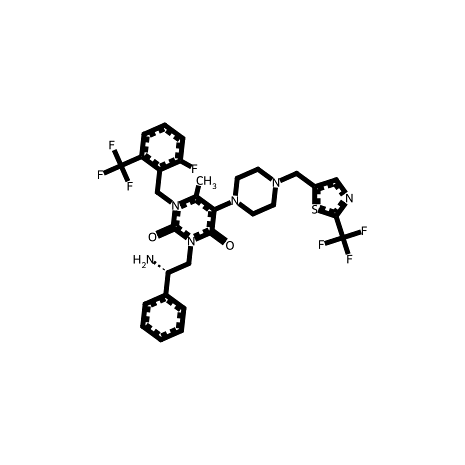 Cc1c(N2CCN(Cc3cnc(C(F)(F)F)s3)CC2)c(=O)n(C[C@@H](N)c2ccccc2)c(=O)n1Cc1c(F)cccc1C(F)(F)F